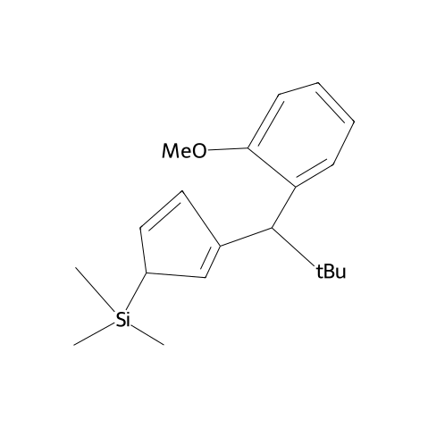 COc1ccccc1C(C1=CC([Si](C)(C)C)C=C1)C(C)(C)C